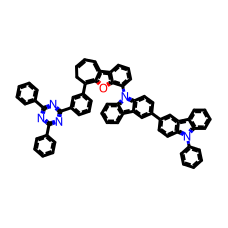 C1=CCC(c2cccc(-c3nc(-c4ccccc4)nc(-c4ccccc4)n3)c2)=c2oc3c(-n4c5ccccc5c5cc(-c6ccc7c(c6)c6ccccc6n7-c6ccccc6)ccc54)cccc3c2=C1